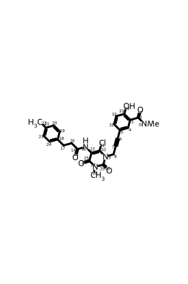 CNC(=O)c1cc(C#CCn2c(Cl)c(NC(=O)CCc3ccc(C)cc3)c(=O)n(C)c2=O)ccc1O